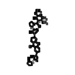 COC(=O)N[C@H](C(=O)N1CCC[C@H]1c1ncc(-c2ccc3c(=O)c4cc(-c5cnc([C@@H]6CCCN6)[nH]5)ccc4oc3c2)[nH]1)C(C)C